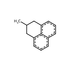 CC1Cc2cccc3cccc(c23)C1